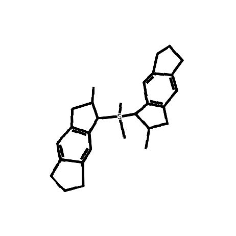 CC1Cc2cc3c(cc2C1S(C)(C)C1c2cc4c(cc2CC1C)CCC4)CCC3